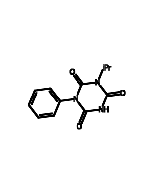 CC(C)n1c(=O)[nH]c(=O)n(-c2ccccc2)c1=O